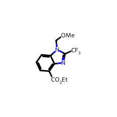 CCOC(=O)c1cccc2c1nc(C(F)(F)F)n2COC